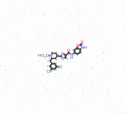 O=C(Nc1ccc2[nH]c(=O)oc2c1)c1csc(C2CCN(C(=O)O)C(Cc3cc(Cl)cc(Cl)c3)C2)n1